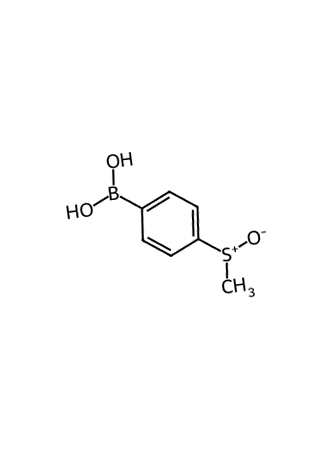 C[S+]([O-])c1ccc(B(O)O)cc1